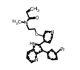 C=CC(=O)N(C)CCOc1cnccc1-c1[nH]c2cccnc2c1-c1cccc(C(C)C)c1